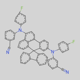 N#Cc1cccc(N(c2ccc(F)cc2)c2ccc3c(c2)C2(c4ccccc4-c4ccccc42)c2cccc4c(N(c5ccc(F)cc5)c5cccc(C#N)c5)ccc-3c24)c1